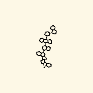 c1cc(-c2cccc3ccccc23)cc(-c2c3ccccc3c(-c3ccc(-c4cc5sc6c(ccc7sc8ccccc8c76)c5c5ccccc45)c4ccccc34)c3ccccc23)c1